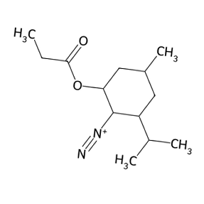 CCC(=O)OC1CC(C)CC(C(C)C)C1[N+]#N